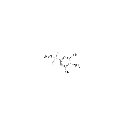 CNS(=O)(=O)c1cc(C#N)c(N)c(C#N)c1